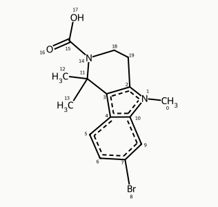 Cn1c2c(c3ccc(Br)cc31)C(C)(C)N(C(=O)O)CC2